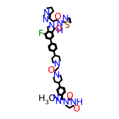 Cn1nc(N2CCC(=O)NC2=O)c2ccc(C3CCN(C(=O)CN4CCC(c5ccc(-c6cc(F)c7c(c6)C(=O)N(C(C(=O)Nc6nccs6)c6ncn8c6CCC8)C7)cc5)CC4)CC3)cc21